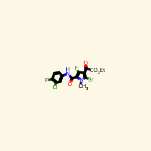 CCOC(=O)C(=O)c1c(F)c(C(=O)Nc2ccc(F)c(Cl)c2)n(C)c1Br